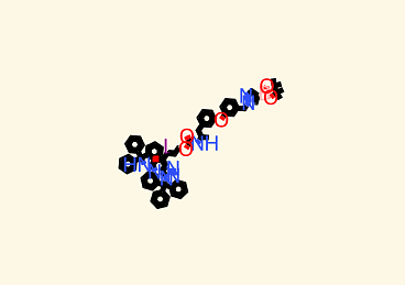 CC(Cc1cccc(Oc2cccc(Cn3cc(B4OC(C)(C)C(C)(C)O4)cn3)c2)c1)NC(=O)OCC=C(I)c1cc(NC(c2ccccc2)(c2ccccc2)c2ccccc2)nc2c1nnn2C(c1ccccc1)(c1ccccc1)c1ccccc1